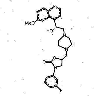 COc1ccc2nccc([C@@H](O)CN3CCN(CC4CN(c5cccc(F)c5)C(=O)O4)CC3)c2c1